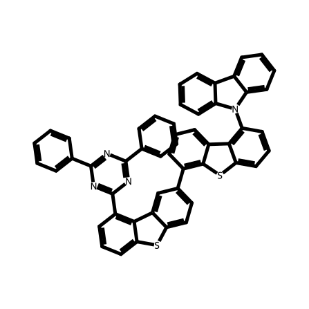 c1ccc(-c2nc(-c3ccccc3)nc(-c3cccc4sc5ccc(-c6cccc7c6sc6cccc(-n8c9ccccc9c9ccccc98)c67)cc5c34)n2)cc1